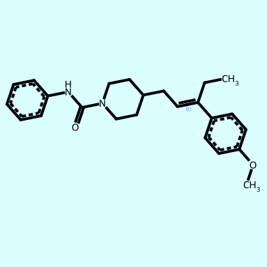 CC/C(=C\CC1CCN(C(=O)Nc2ccccc2)CC1)c1ccc(OC)cc1